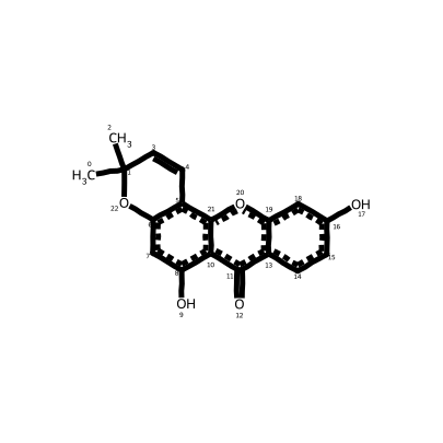 CC1(C)C=Cc2c(cc(O)c3c(=O)c4ccc(O)cc4oc23)O1